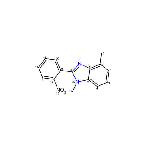 Cc1cccc2c1nc(-c1ccccc1[N+](=O)[O-])n2C